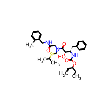 C=CC(CC)OC(=O)N[C@@H](Cc1ccccc1)[C@H](O)C(=O)N(CSC(C)C)CC(=O)NCc1ccccc1C